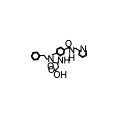 O=C(O)CC1Nc2cc(C(=O)NCc3ccccn3)ccc2CN(CCc2ccccc2)C1=O